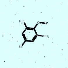 [CH2]Cc1cc(C)c(OC(C)C)c(C)c1